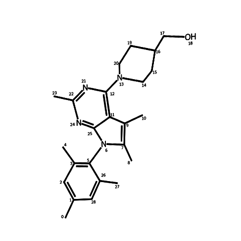 Cc1cc(C)c(-n2c(C)c(C)c3c(N4CCC(CO)CC4)nc(C)nc32)c(C)c1